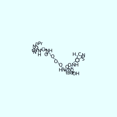 CCCc1cc(N[C@@H]2CC[C@@H](NC(=O)CCOCCOCCOCCN[C@H](C(=O)N3C[C@H](O)C[C@H]3C(=O)NCc3ccc(-c4scnc4C)cc3)C(C)(C)C)C2)n2nccc2n1